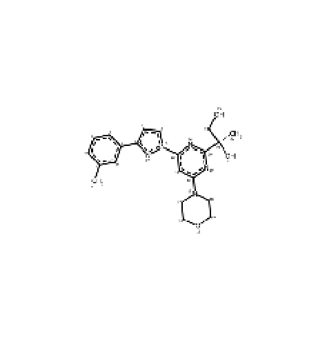 Cc1cccc(-c2ccn(-c3cc(N4CCOCC4)nc([C@](C)(O)CO)n3)n2)c1